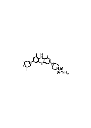 Cc1cc(N2CCN(S(N)(=O)=O)CC2)cc2c1Nc1c(C)cc(N3C[C@@H](C)O[C@H](C)C3)cc1S2